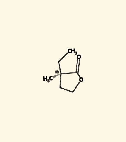 CC[C@]1(C)CCOC1=O